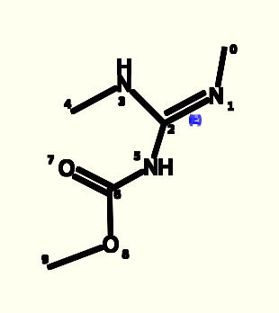 C/N=C(\NC)NC(=O)OC